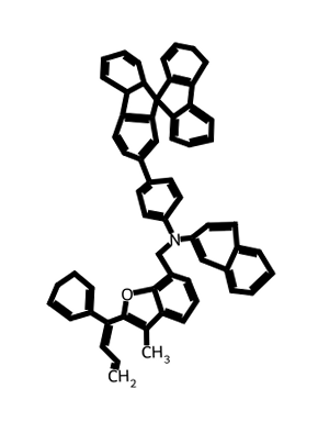 C=C/C=C(/C1=CCCC=C1)c1oc2c(CN(c3ccc(-c4ccc5c(c4)C4(C6=C(CCC=C6)c6ccccc64)C4C=CC=CC54)cc3)c3ccc4ccccc4c3)cccc2c1C